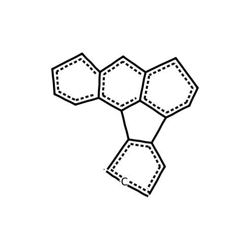 [c]1[c]c2c(cc1)-c1cccc3cc4ccccc4c-2c13